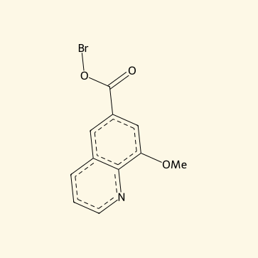 COc1cc(C(=O)OBr)cc2cccnc12